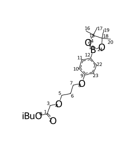 CC(C)COC(=O)COCCCOc1ccc(B2OC(C)(C)C(C)(C)O2)cc1